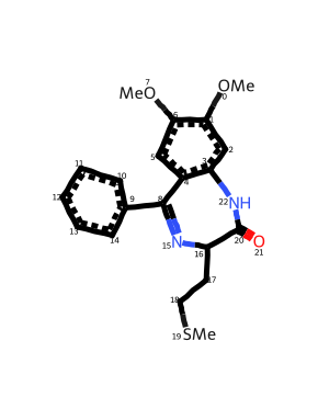 COc1cc2c(cc1OC)C(c1ccccc1)=NC(CCSC)C(=O)N2